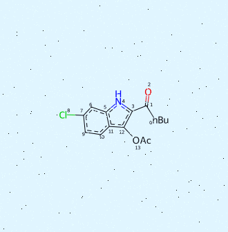 CCCCC(=O)c1[nH]c2cc(Cl)ccc2c1OC(C)=O